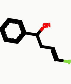 OC(CC=CF)c1ccccc1